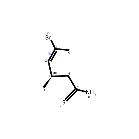 C/C(Br)=C\[C@H](C)CC(N)=S